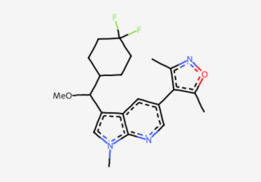 COC(c1cn(C)c2ncc(-c3c(C)noc3C)cc12)C1CCC(F)(F)CC1